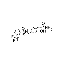 NC(=O)/C(O)=C/c1ccc2c(c1)CN(S(=O)(=O)c1cccc(C(F)(F)F)c1)C2